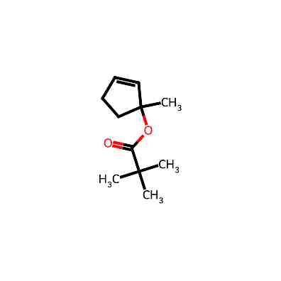 CC1(OC(=O)C(C)(C)C)C=CCC1